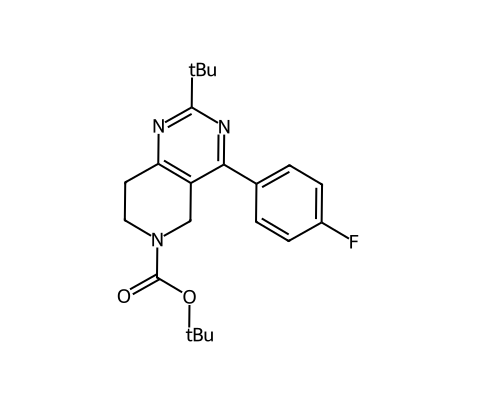 CC(C)(C)OC(=O)N1CCc2nc(C(C)(C)C)nc(-c3ccc(F)cc3)c2C1